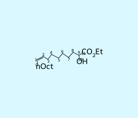 CCCCCCCC/C=C\CCCCCCC(O)C(=O)OCC